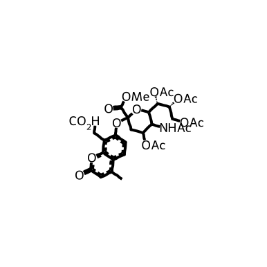 COC(=O)C1(Oc2ccc3c(C)cc(=O)oc3c2CC(=O)O)CC(OC(C)=O)C(NC(C)=O)C([C@H](OC(C)=O)[C@@H](COC(C)=O)OC(C)=O)O1